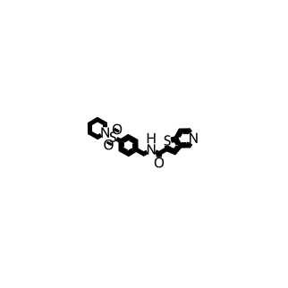 O=C(NCc1ccc(S(=O)(=O)N2CCCCC2)cc1)c1cc2cnccc2s1